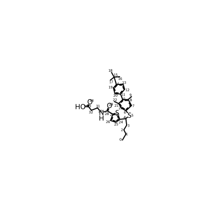 CCCCC(Sc1cc(C)c(-c2ccc(C(C)(C)C)cc2)c(C)c1)c1ccc(C(=O)NCCC(=O)O)s1